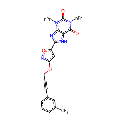 CCCn1c(=O)c2[nH]c(-c3cc(OCC#Cc4cccc(C(F)(F)F)c4)no3)nc2n(CCC)c1=O